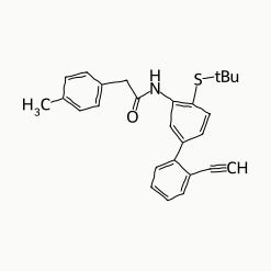 C#Cc1ccccc1-c1ccc(SC(C)(C)C)c(NC(=O)Cc2ccc(C)cc2)c1